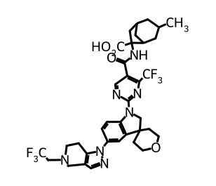 CC1CC2CC(C1)C(NC(=O)c1cnc(N3CC4(CCOCC4)c4cc(-n5ncc6c5CCN(CC(F)(F)F)C6)ccc43)nc1C(F)(F)F)(C(=O)O)C2